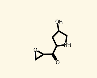 O=C(C1CC(O)CN1)C1CO1